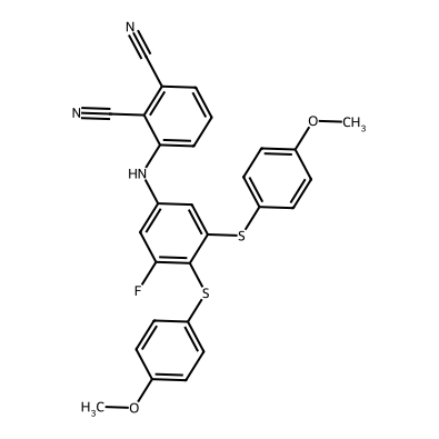 COc1ccc(Sc2cc(Nc3cccc(C#N)c3C#N)cc(F)c2Sc2ccc(OC)cc2)cc1